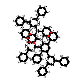 c1ccc(-c2cc(-c3cc(-c4ccccc4)c(N4c5ccccc5N(c5cc(-c6ccccc6)nc(-c6ccccc6)n5)c5ccccc54)c(-c4nc(-c5ccccc5)nc(-c5ccccc5)n4)c3-c3ccccc3)nc(-c3ccccc3)n2)cc1